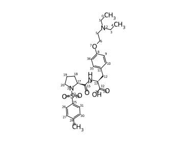 CCN(CC)CCOc1ccc(C[C@H](NC(=O)[C@@H]2CCCN2S(=O)(=O)c2ccc(C)cc2)C(=O)O)cc1